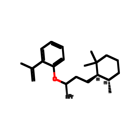 C=C(C)c1ccccc1OC(CCC)CC[C@@H]1[C@@H](C)CCCC1(C)C